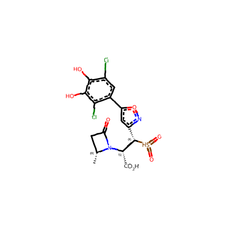 C[C@@H]1CC(=O)N1[C@@H](C(=O)O)[C@H](c1cc(-c2cc(Cl)c(O)c(O)c2Cl)on1)[SH](=O)=O